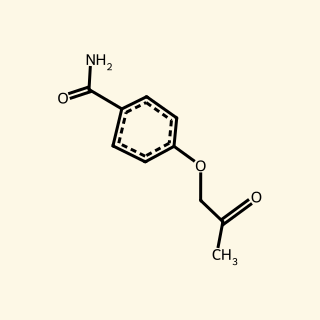 CC(=O)COc1ccc(C(N)=O)cc1